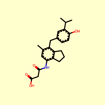 Cc1cc(NC(=O)CC(=O)O)c2c(c1Cc1ccc(O)c(C(C)C)c1)CCC2